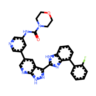 O=C(Nc1cncc(-c2cnc3[nH]nc(-c4nc5c(-c6ccccc6F)cccc5[nH]4)c3c2)c1)N1CCOCC1